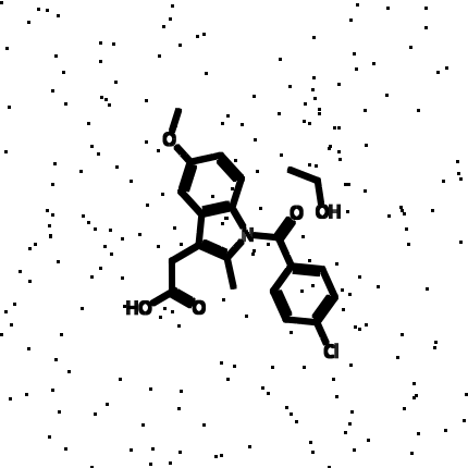 CCO.COc1ccc2c(c1)c(CC(=O)O)c(C)n2C(=O)c1ccc(Cl)cc1